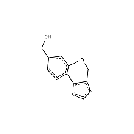 OCc1ccc2c(c1)OCc1ncsc1-2